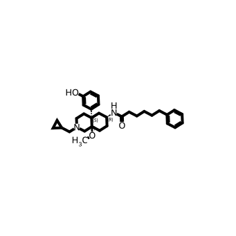 CO[C@]12CC[C@@H](NC(=O)CCCCCc3ccccc3)C[C@]1(c1cccc(O)c1)CCN(CC1CC1)C2